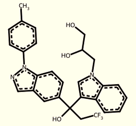 Cc1ccc(-n2ncc3cc(C(O)(CC(F)(F)F)c4cn(CC(O)CO)c5ccccc45)ccc32)cc1